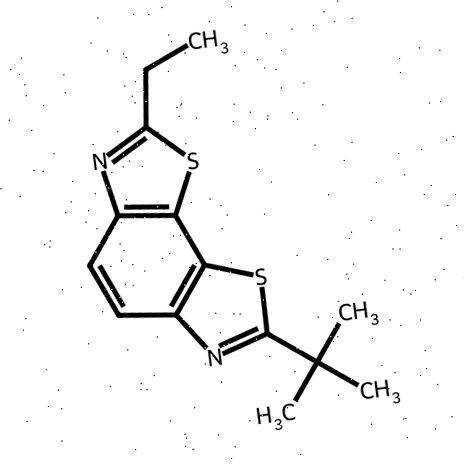 CCc1nc2ccc3nc(C(C)(C)C)sc3c2s1